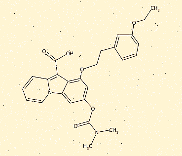 CCOc1cccc(CCOc2cc(OC(=O)N(C)C)cc3c2c(C(=O)O)c2ccccn23)c1